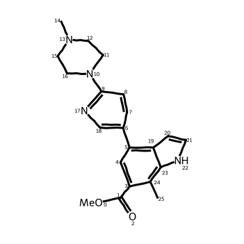 COC(=O)c1cc(-c2ccc(N3CCN(C)CC3)nc2)c2cc[nH]c2c1C